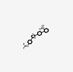 O=[N+]([O-])c1ccccc1-c1ccc(-c2nc(-c3ccc(OC(F)F)cc3)cs2)cc1